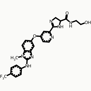 Cn1c(Nc2ccc(C(F)(F)F)cc2)nc2cc(Oc3ccnc(C4=NCC(C(=O)NCCO)N4)c3)ccc21